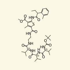 CCC(C(=O)Nc1sc(C(=O)NCCNC(=O)[C@@H](NC(=O)[C@@H](NC(=O)[C@@H](NC(=O)OC(C)(C)C)C(C)C)C(C)C)C(C)C)c(C)c1C(=O)OC)c1ccccc1C